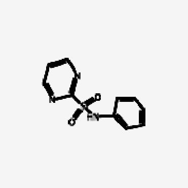 O=S(=O)(Nc1ccccc1)c1ncccn1